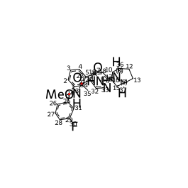 COc1cccc(C(=O)N[C@H]2C[C@H]3CC[C@@H](C2)N3c2ccc(C(=O)NCc3cccc(F)c3)cn2)c1C